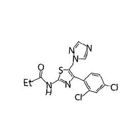 CCC(=O)Nc1nc(-c2ccc(Cl)cc2Cl)c(-n2cncn2)s1